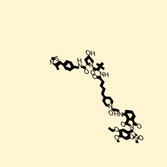 CCOc1cc([C@@H](CS(C)(=O)=O)N2C(=O)c3cccc(NCC(=O)N4CCC(CCCCC(=O)N[C@H](C(=O)N5C[C@H](O)C[C@H]5C(=O)NCc5ccc(-c6scnc6C)cc5)C(C)(C)C)CC4)c3C2=O)ccc1OC